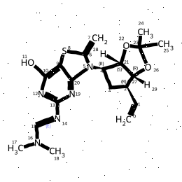 C=C[C@H]1C[C@@H](N2C(=C)Sc3c(O)nc(/N=C/N(C)C)nc32)[C@@H]2OC(C)(C)O[C@@H]21